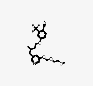 COCCOCOc1cncc(CC(C)CCOc2ccc(C#N)c(C(F)(F)F)c2)c1